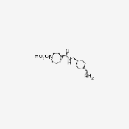 NCC1CCC(CNC(=O)N2CCCN(C(=O)O)CC2)CC1